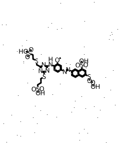 COc1cc(/N=N/c2ccc3cc(SOOO)cc(S(=O)(=O)O)c3c2)ccc1Nc1nc(CSCCS(=O)(=O)O)nc(SCCCS(=O)(=O)O)n1